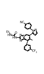 CCNC(=O)Nc1nc2c(-c3cccc(C(F)(F)F)c3)c(C)c(-c3ccnn3-c3ccc(C#N)cc3)cn2n1